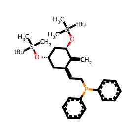 C=C1/C(=C\CP(c2ccccc2)c2ccccc2)C[C@H](O[Si](C)(C)C(C)(C)C)C[C@H]1O[Si](C)(C)C(C)(C)C